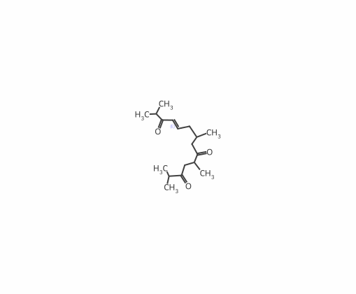 CC(C/C=C/C(=O)C(C)C)CC(=O)C(C)CC(=O)C(C)C